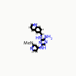 CNc1cc(Nc2cnc(N)c(NCc3ccc4ncccc4c3)n2)ccn1